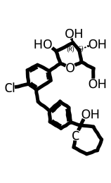 OCC1OC(c2ccc(Cl)c(Cc3ccc(C4(O)CCCCCC4)cc3)c2)C(O)[C@@H](O)[C@@H]1O